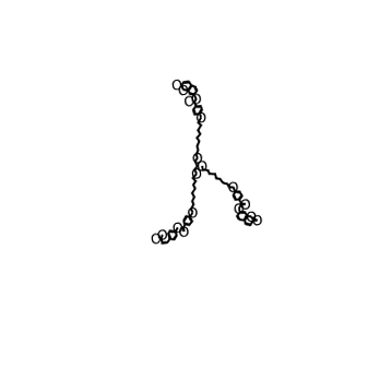 O=C(Oc1ccc2ccc(=O)oc2c1)c1ccc(OCCCCCCCCCOCC(COCCCCCCCCCOc2ccc(C(=O)Oc3ccc4ccc(=O)oc4c3)cc2)OCCCCCCCCCOc2ccc(C(=O)Oc3ccc4ccc(=O)oc4c3)cc2)cc1